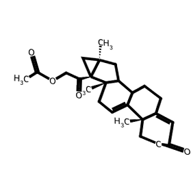 CC(=O)OCC(=O)[C@@]12C[C@@]1(C)CC1C3CCC4=CC(=O)CC[C@]4(C)C3=CC[C@@]12C